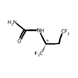 NC(=O)N[C@H](CC(F)(F)F)C(F)(F)F